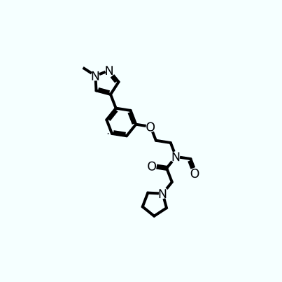 Cn1cc(-c2c[c]cc(OCCN(C=O)C(=O)CN3CCCC3)c2)cn1